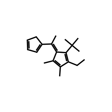 CCC1=C(C(C)(C)C)C(=C(C)C2=CC=CC2)C(C)=C1C